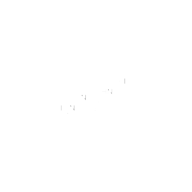 CC(NCC(F)(F)F)c1ccc(N)nc1